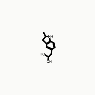 CC1Cc2cc(CC(O)O)ccc2N1